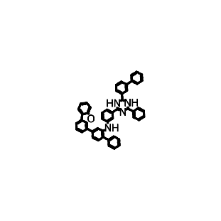 c1ccc(-c2cccc(C3NC(c4cccc(Nc5cc(-c6cccc7c6oc6ccccc67)ccc5-c5ccccc5)c4)=NC(c4ccccc4)N3)c2)cc1